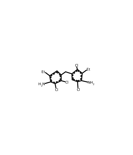 CCc1cc(Cc2cc(Cl)c(N)c(CC)c2Cl)c(Cl)c(Cl)c1N